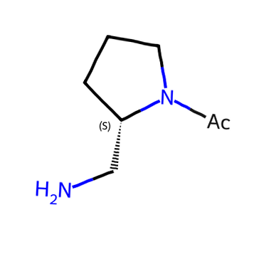 CC(=O)N1CCC[C@H]1CN